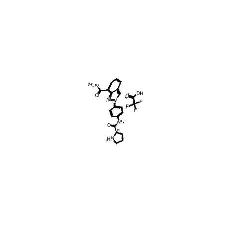 NC(=O)c1cccc2cn(-c3ccc(NC(=O)[C@H]4CCCN4)cc3)nc12.O=C(O)C(F)(F)F